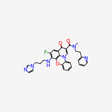 CN(CCc1ccccn1)C(=O)c1cn2c3c(c(NCCCn4ccnc4)c(F)cc3c1=O)Oc1ccccc1-2